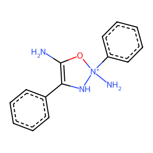 NC1=C(c2ccccc2)N[N+](N)(c2ccccc2)O1